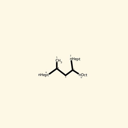 CCCCCCCCC(CCCCCCC)CC(C)CCCCCCC